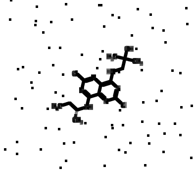 CC[C@@H](C)Nc1nc(Cl)nc2c(NCC(C)(C)O)nc(Cl)nc12